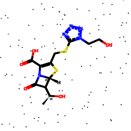 C[C@@H](O)C1C(=O)N2C(C(=O)O)=C(CSc3nnnn3CCO)S[C@H]12